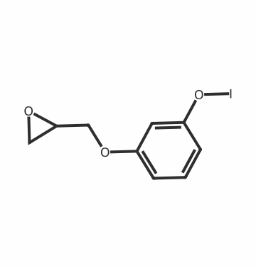 IOc1cccc(OCC2CO2)c1